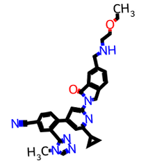 CCOCCNCc1ccc2c(c1)C(=O)N(c1cc(-c3ccc(C#N)cc3-c3nncn3C)cc(C3CC3)n1)C2